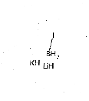 BI.[KH].[LiH]